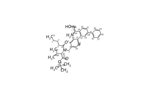 CCCCC(=O)N(Cc1ccc(-c2cc(-c3ccccc3)ccc2/C(N)=N/O)nc1)C(C(=O)OC(C)(C)C)C(C)C